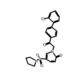 O=C(Cn1cc(S(=O)(=O)N2CCCC2)ccc1=O)c1ccc(-c2ccccc2Cl)cc1